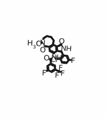 CN1CCCCc2c(cc(NC(=O)c3cc(F)cc(C(F)(F)F)c3)c3c2C(=O)NC3c2cc(F)ccc2Cl)C1=O